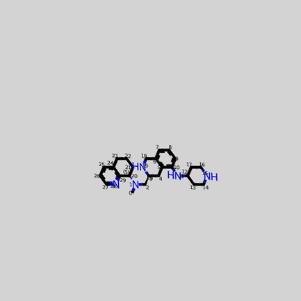 CN(C[C@@H]1Cc2c(cccc2NC2CCNCC2)CN1)[C@H]1CCCc2cccnc21